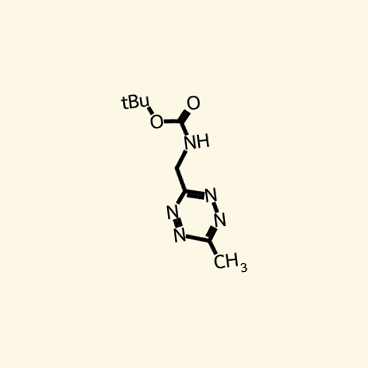 Cc1nnc(CNC(=O)OC(C)(C)C)nn1